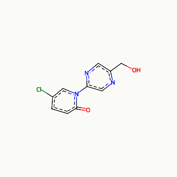 O=c1ccc(Cl)cn1-c1cnc(CO)cn1